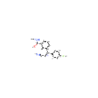 CNC(=O)c1cccc(/C(=C\C#N)c2ccc(F)cc2)c1